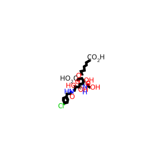 O=C(O)CCCCCCCO[C@]1(C(=O)O)C[C@H](O)[C@@H](NC(=O)CO)[C@H]([C@H](O)[C@H](O)CNC(=O)Cc2ccc(Cl)cc2)O1